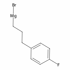 Fc1ccc(CC[CH2][Mg][Br])cc1